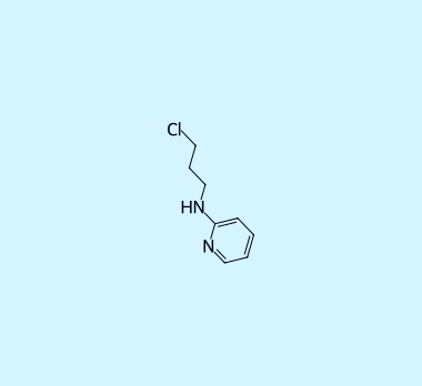 ClCCCNc1ccccn1